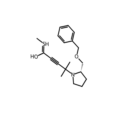 C[SH]=C(O)C#CC(C)(C)N1CCC[C@H]1COCc1ccccc1